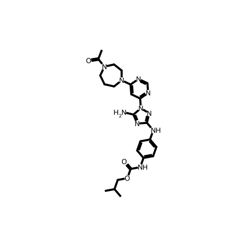 CC(=O)N1CCCN(c2cc(-n3nc(Nc4ccc(NC(=O)OCC(C)C)cc4)nc3N)ncn2)CC1